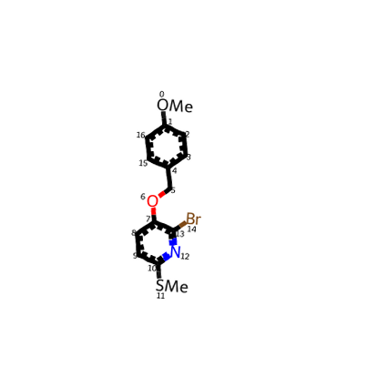 COc1ccc(COc2ccc(SC)nc2Br)cc1